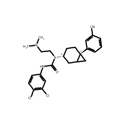 CN(C)CCN(C(=O)Nc1ccc(Cl)c(Cl)c1)[C@@H]1CC[C@]2(c3cccc(C#N)c3)CC2C1